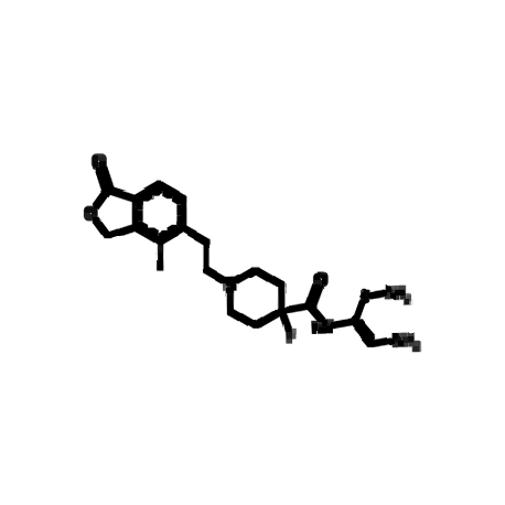 Cc1c(CCN2CCC(F)(C(=O)N/C(=C/N)SN)CC2)ccc2c1COC2=O